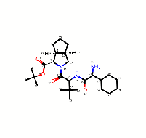 CC(C)(C)OC(=O)[C@@H]1[C@H]2CCC[C@H]2CN1C(=O)[C@@H](NC(=O)[C@@H](N)C1CCCCC1)C(C)(C)C